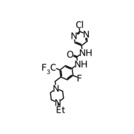 CCN1CCN(Cc2cc(F)c(NC(=O)Nc3cnc(Cl)nc3)cc2C(F)(F)F)CC1